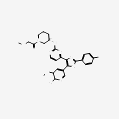 COCC(=O)N1CCC[C@@H](Nc2nccc(-c3nc(-c4ccc(F)cc4)[nH]c3C3=CC(OC)C(N)N=C3)n2)C1